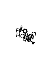 O=C(O)N(c1cccc(C(F)(F)CF)c1)c1cc(Cl)nc2c(C3CC3)cnn12